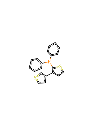 c1ccc(P(c2ccccc2)c2sccc2-c2ccsc2)cc1